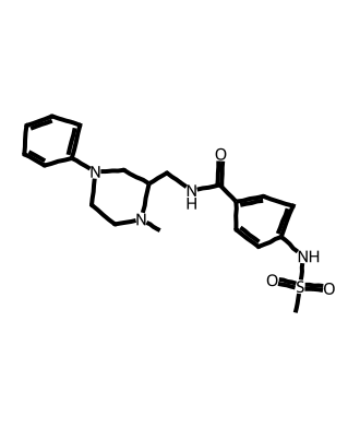 CN1CCN(c2ccccc2)CC1CNC(=O)c1ccc(NS(C)(=O)=O)cc1